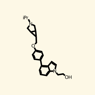 CC(C)N1CC2C(COc3ccc(-c4cccc5c4ccn5CCO)cc3)C2C1